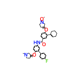 CON1CC[C@H](Oc2ccc(C(=O)Nc3ccc(O[C@H]4CCN(C)C4)c(-c4ccc(F)cc4)c3)cc2C2=CCCCC2)C1